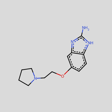 Nc1nc2cc(OCCN3CCCC3)ccc2[nH]1